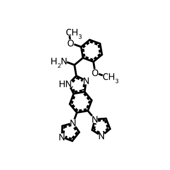 COc1cccc(OC)c1C(N)c1nc2cc(-n3ccnc3)c(-n3ccnc3)cc2[nH]1